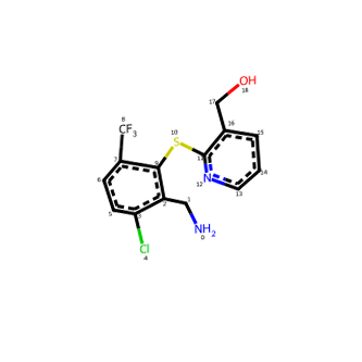 NCc1c(Cl)ccc(C(F)(F)F)c1Sc1ncccc1CO